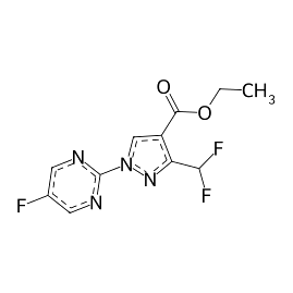 CCOC(=O)c1cn(-c2ncc(F)cn2)nc1C(F)F